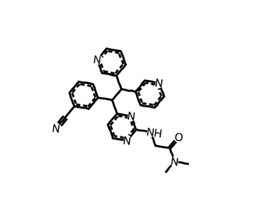 CN(C)C(=O)CNc1nccc(C(c2cccc(C#N)c2)C(c2cccnc2)c2cccnc2)n1